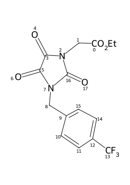 CCOC(=O)CN1C(=O)C(=O)N(Cc2ccc(C(F)(F)F)cc2)C1=O